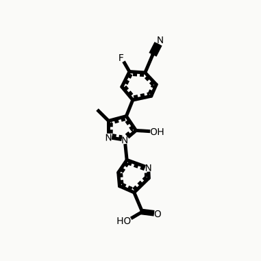 Cc1nn(-c2ccc(C(=O)O)cn2)c(O)c1-c1ccc(C#N)c(F)c1